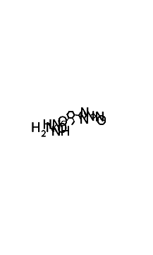 C=Cc1c(COC(=O)NC(=N)N)cccc1-c1cnc(N2CC(=NOC)C2)nc1